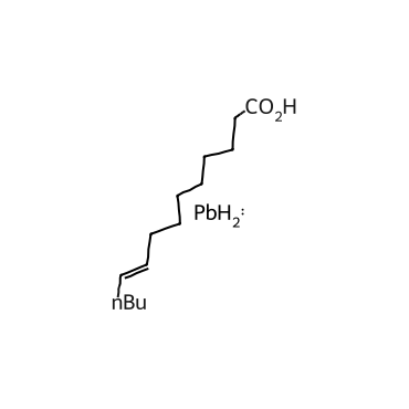 CCCCC=CCCCCCCCC(=O)O.[PbH2]